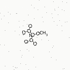 Cc1ccc(-c2cc(-c3cc(-c4ccccc4)cc(-c4ccccc4)c3)nc(-c3cc(-c4ccccc4)cc(-c4ccccc4)c3)c2)cc1